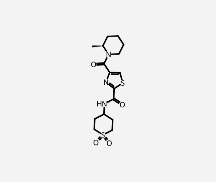 C[C@H]1CCCCN1C(=O)c1csc(C(=O)NC2CCS(=O)(=O)CC2)n1